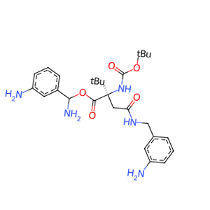 CC(C)(C)OC(=O)N[C@@](CC(=O)NCc1cccc(N)c1)(C(=O)OC(N)c1cccc(N)c1)C(C)(C)C